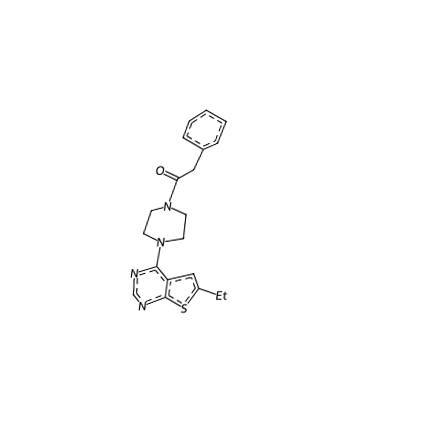 CCc1cc2c(N3CCN(C(=O)Cc4ccccc4)CC3)ncnc2s1